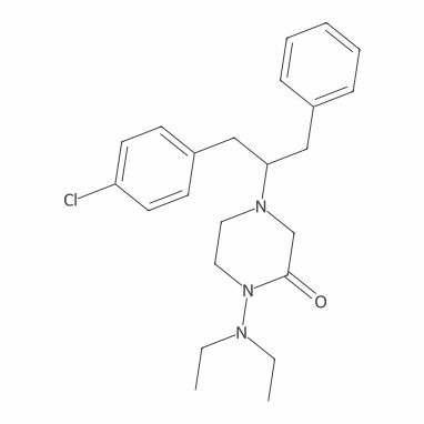 CCN(CC)N1CCN(C(Cc2ccccc2)Cc2ccc(Cl)cc2)CC1=O